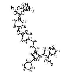 Cn1c(-c2nc(-c3ccccc3)cn2CCCc2ccc(OC3CCN(C(=O)OC(C)(C)C)CC3)cc2)cc2sccc21